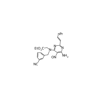 CCC/C=C/c1nc(N)c(N=O)c(N(CC(=O)OCC)Cc2cccc(C#N)c2)n1